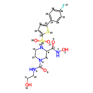 O=C(NO)C1CN(C(=O)NCCO)CCN1S(=O)(=O)c1ccc(-c2ccc(F)cc2)s1